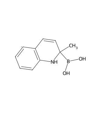 CC1(B(O)O)C=Cc2[c]cccc2N1